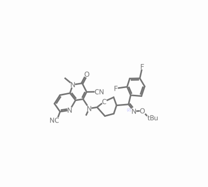 CN(c1c(C#N)c(=O)n(C)c2ccc(C#N)nc12)C1CCC(/C(=N/OC(C)(C)C)c2ccc(F)cc2F)CC1